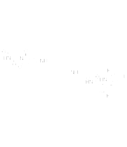 O=C1CCC(N2C(=O)c3ccc(NCCCCCCCNCCCONC(=O)c4ccc(F)c(F)c4Nc4ccc(I)cc4F)cc3C2=O)C(=O)N1